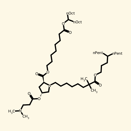 CCCCCCCCC(CCCCCCCC)OC(=O)CCCCCCCOC(=O)[C@@H]1C[C@@H](OC(=O)CCN(C)C)CN1CCCCCCC(C)(C)C(=O)OCCCC(CCCCC)CCCCC